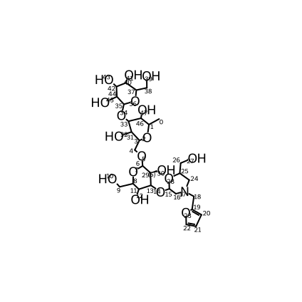 CC1OC(COC2OC(CO)C(O)C(OC3CN(Cc4ccco4)CC(CO)O3)[C@@H]2O)C(O)C(OC2OC(CO)C(O)C(O)C2O)C1O